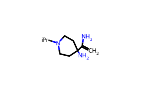 C=C(N)C1(N)CCN(C(C)C)CC1